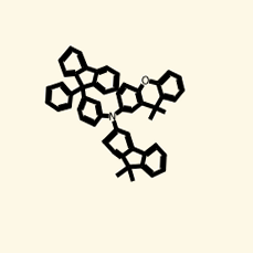 CC1(C)c2ccccc2Oc2ccc(N(c3cccc(C4(c5ccccc5)c5ccccc5-c5ccccc54)c3)c3ccc4c(c3)-c3ccccc3C4(C)C)cc21